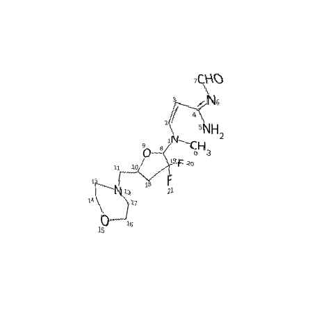 CN(/C=C\C(N)=N/C=O)C1OC(CN2CCOCC2)CC1(F)F